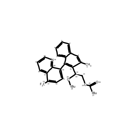 Cc1cc2ccccc2c(-c2ccc(C(F)(F)F)c3cccnc23)c1[C@@H](COC(=O)C(C)(C)C)OC(C)(C)C